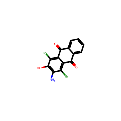 Nc1c(O)c(Br)c2c(c1Br)C(=O)c1ccccc1C2=O